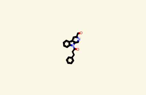 O=Cc1cc2c3ccccc3n(C(=O)CCc3ccccc3)c2cn1